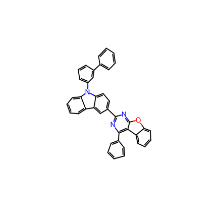 c1ccc(-c2cccc(-n3c4ccccc4c4cc(-c5nc(-c6ccccc6)c6c(n5)oc5ccccc56)ccc43)c2)cc1